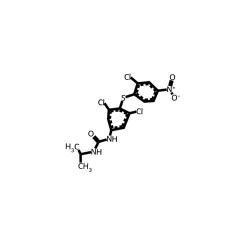 CC(C)NC(=O)Nc1cc(Cl)c(Sc2ccc([N+](=O)[O-])cc2Cl)c(Cl)c1